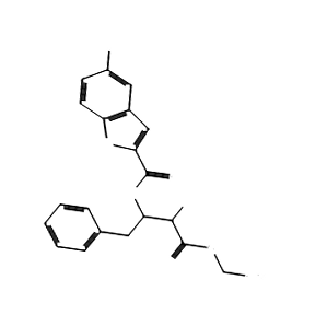 COCNC(=O)C(O)C(Cc1ccccc1)NC(=O)c1cc2cc(Cl)ccc2[nH]1